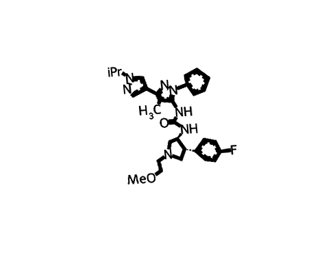 COCCN1C[C@@H](NC(=O)Nc2c(C)c(-c3cnn(C(C)C)c3)nn2-c2ccccc2)[C@H](c2ccc(F)cc2)C1